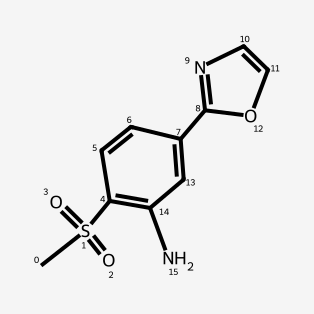 CS(=O)(=O)c1ccc(-c2ncco2)cc1N